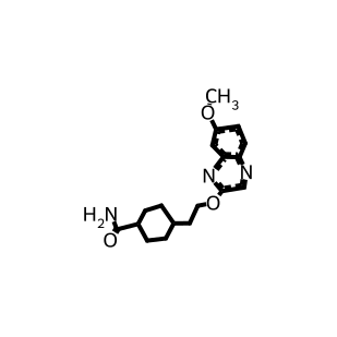 COc1ccc2ncc(OCCC3CCC(C(N)=O)CC3)nc2c1